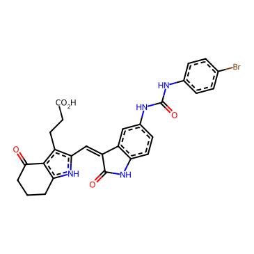 O=C(O)CCc1c(/C=C2\C(=O)Nc3ccc(NC(=O)Nc4ccc(Br)cc4)cc32)[nH]c2c1C(=O)CCC2